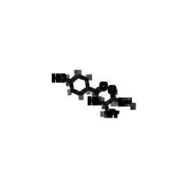 CCCC(NC(=O)C1CCC(O)CC1)C(N)=O